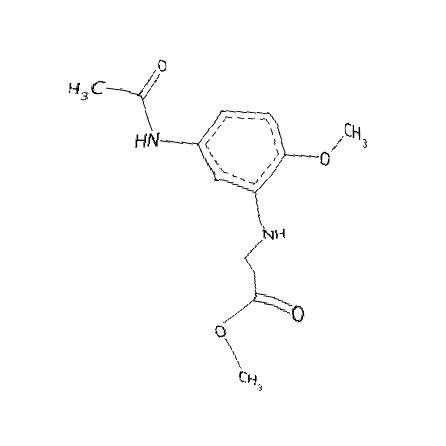 COC(=O)CNc1cc(NC(C)=O)ccc1OC